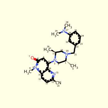 C[C@@H]1CN(c2cc(=O)n(C)c3ccc(C#N)nc23)[C@@H](C)CN1Cc1cccc(N(C)C)c1